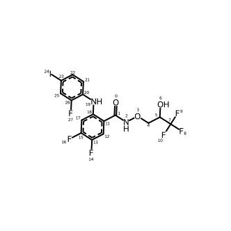 O=C(NOCC(O)C(F)(F)F)c1cc(F)c(F)cc1Nc1ccc(I)cc1F